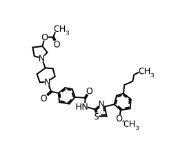 CCCCc1ccc(OC)c(-c2csc(NC(=O)c3ccc(C(=O)N4CCC(N5CCC(OC(C)=O)C5)CC4)cc3)n2)c1